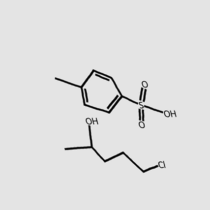 CC(O)CCCCl.Cc1ccc(S(=O)(=O)O)cc1